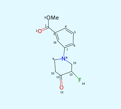 COC(=O)c1cccc(N2CCC(=O)C(F)C2)c1